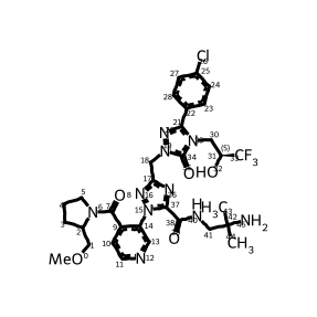 COCC1CCCN1C(=O)c1ccncc1-n1nc(Cn2nc(-c3ccc(Cl)cc3)n(C[C@H](O)C(F)(F)F)c2=O)nc1C(=O)NCC(C)(C)N